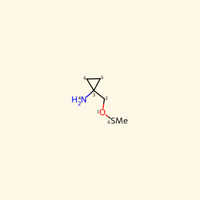 CSOCC1(N)CC1